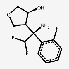 N[C@@](c1ccccc1F)(C(F)F)[C@H]1COC[C@H]1O